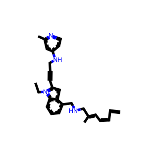 C=C/C=C\C=C(/C)CNCc1cccc2c1cc(C#CCNc1ccnc(C)c1)n2CC